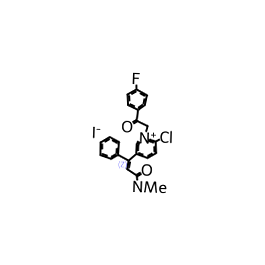 CNC(=O)/C=C(/c1ccccc1)c1ccc(Cl)[n+](CC(=O)c2ccc(F)cc2)c1.[I-]